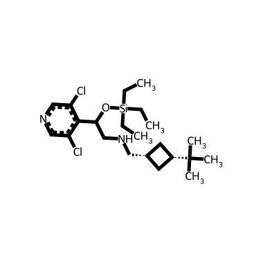 CC[Si](CC)(CC)OC(CNC[C@H]1C[C@@H](C(C)(C)C)C1)c1c(Cl)cncc1Cl